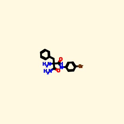 NC(=O)C(N)(Cc1ccccc1)C(=O)Nc1ccc(Br)cc1